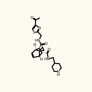 CC(=O)c1csc(CNC(=O)[C@H]2[C@H](C(=O)NCC3CCNCC3)[C@H]3C=C[C@@H]2C32CC2)n1